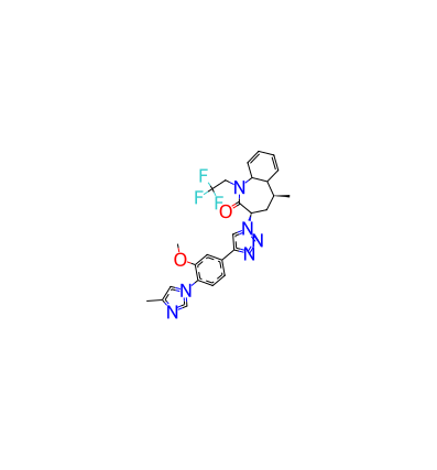 COc1cc(-c2cn([C@@H]3C[C@H](C)C4C=CC=CC4N(CC(F)(F)F)C3=O)nn2)ccc1-n1cnc(C)c1